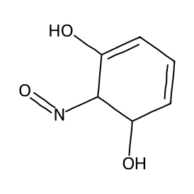 O=NC1C(O)=CC=CC1O